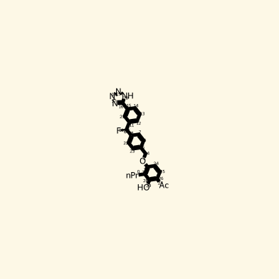 CCCc1c(OCc2ccc([C@@H](F)c3cccc(-c4nnn[nH]4)c3)cc2)ccc(C(C)=O)c1O